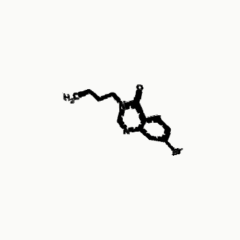 C=CCCn1cnc2cc(Br)ccc2c1=O